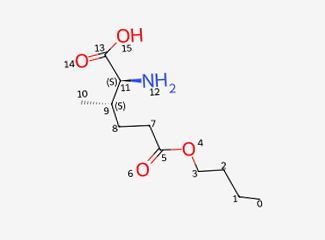 CCCCOC(=O)CC[C@H](C)[C@H](N)C(=O)O